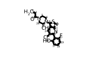 C=CC(=O)N1CCN(c2snc3nc(-c4c(O)cccc4F)c(Cl)cc23)[C@H](C)C1